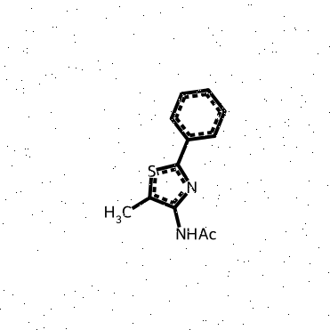 CC(=O)Nc1nc(-c2ccccc2)sc1C